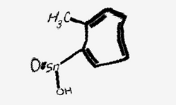 Cc1cccc[c]1[Sn](=[O])[OH]